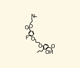 CCCc1c(OCCCOc2ccc(C(=O)OCCCN(C)C)cc2F)ccc(C(C)=O)c1O